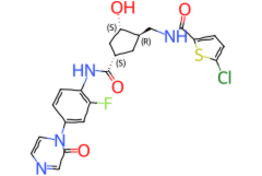 O=C(NC[C@H]1C[C@H](C(=O)Nc2ccc(-n3ccncc3=O)cc2F)C[C@@H]1O)c1ccc(Cl)s1